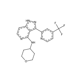 FC(F)(F)c1ccnc(-c2n[nH]c3ccnc(NC4CCOCC4)c23)c1